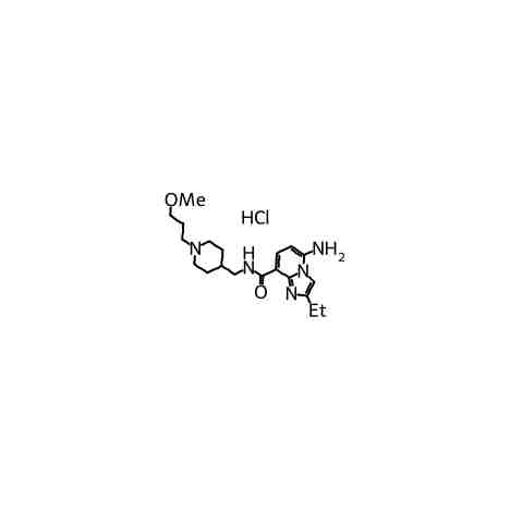 CCc1cn2c(N)ccc(C(=O)NCC3CCN(CCCOC)CC3)c2n1.Cl